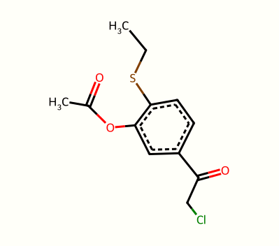 CCSc1ccc(C(=O)CCl)cc1OC(C)=O